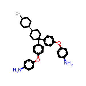 CC[C@H]1CC[C@H](C2CCC(c3ccc(Oc4ccc(N)cc4)cc3)(c3ccc(Oc4ccc(N)cc4)cc3)CC2)CC1